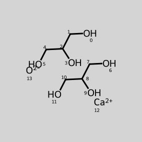 OCC(O)CO.OCC(O)CO.[Ca+2].[O-2]